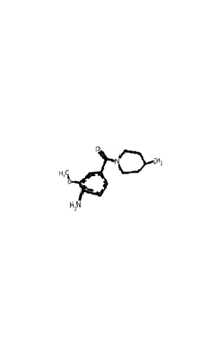 COc1cc(C(=O)N2CCC(C)CC2)ccc1N